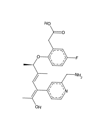 C/C(O)=C(\C=C(/C)[C@@H](C)Oc1ccc(F)cc1CC(=O)O)c1ccnc(CN)c1